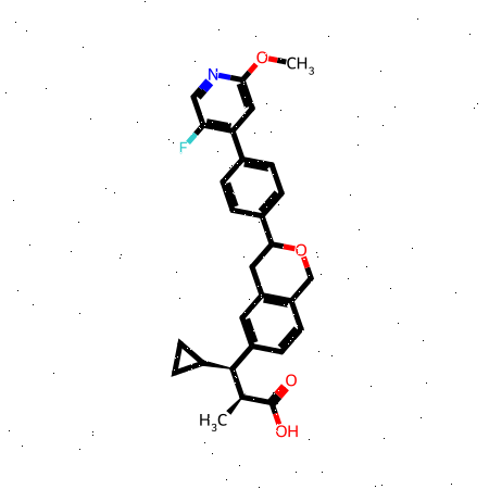 COc1cc(-c2ccc(C3Cc4cc([C@H](C5CC5)[C@H](C)C(=O)O)ccc4CO3)cc2)c(F)cn1